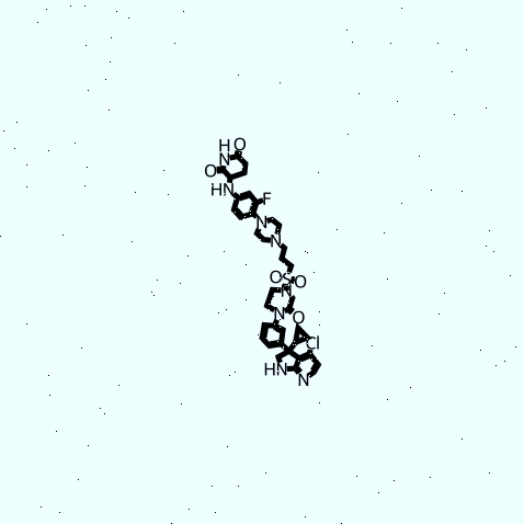 O=C1CCC(Nc2ccc(N3CCN(CCCS(=O)(=O)N4CCN(c5cccc(C6(C7CC7)CNc7nccc(Cl)c76)c5)C(=O)C4)CC3)c(F)c2)C(=O)N1